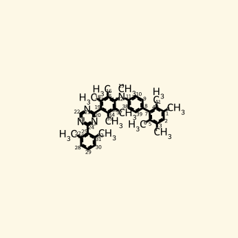 Cc1cc(C)c(C)c(-c2ccc(N(C)c3c(C)c(C)c(-c4ncnc(-c5c(C)cccc5C)n4)c(C)c3C)cc2)c1C